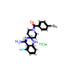 CCCCc1ccc(C(=O)N2CCC3(CC2)N=C(N)c2c(F)cccc2N3)cc1.Cl